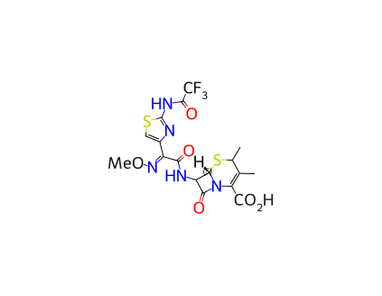 CON=C(C(=O)NC1C(=O)N2C(C(=O)O)=C(C)C(C)S[C@@H]12)c1csc(NC(=O)C(F)(F)F)n1